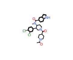 CC(=O)N1CCC(C(=O)N2CCC(N(C)C(=O)c3ccc4[nH]ccc4c3)C(c3ccc(Cl)c(Cl)c3)C2)CC1